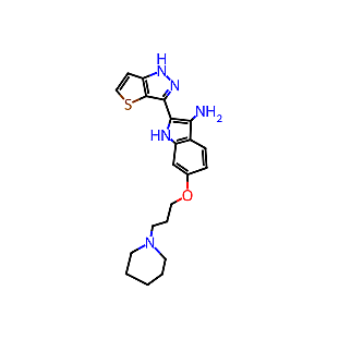 Nc1c(-c2n[nH]c3ccsc23)[nH]c2cc(OCCCN3CCCCC3)ccc12